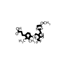 COc1cnc(-c2nsc(C(F)(F)F)c2COc2ccc(CCC(=O)O)c(C)c2C)s1